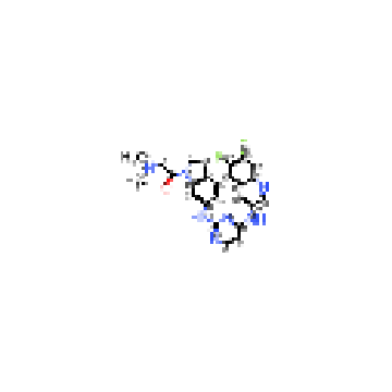 CN(C)CC(=O)N1CCc2ccc(Nc3nccc(Nc4cnc5cc(F)c(F)cc5c4)n3)cc21